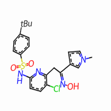 Cn1ccc(C(Cc2nc(NS(=O)(=O)c3ccc(C(C)(C)C)cc3)ccc2Cl)=NO)c1